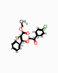 CCOC(=O)c1sc2ccccc2c1OCC(=O)c1ccc(Cl)cc1